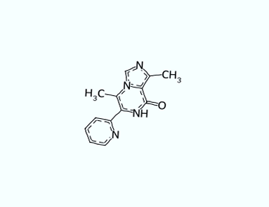 Cc1ncn2c(C)c(-c3ccccn3)[nH]c(=O)c12